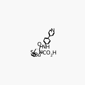 CC(C)(C)N(C(=O)O)[C@H](Cc1cccs1)C(=O)Nc1ccc(-c2ccncc2)cc1